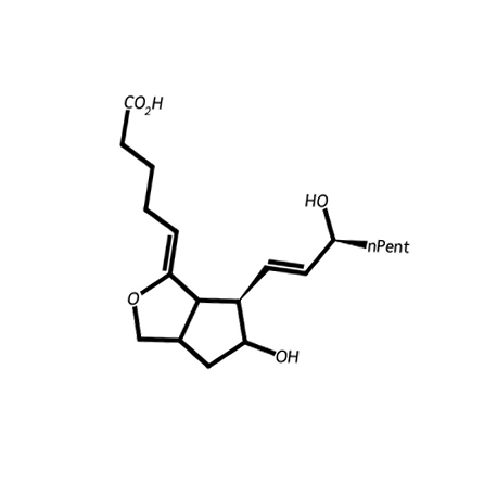 CCCCC[C@H](O)/C=C/[C@H]1C(O)CC2CO/C(=C\CCCC(=O)O)C21